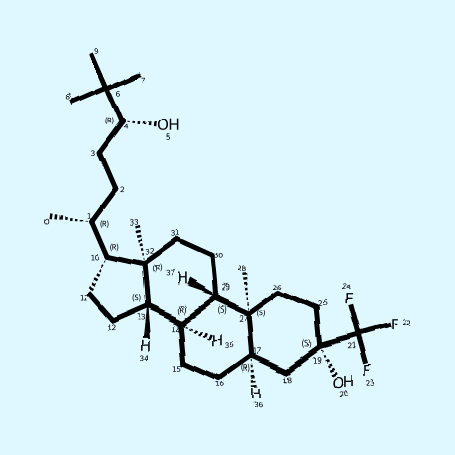 C[C@H](CC[C@@H](O)C(C)(C)C)[C@H]1CC[C@H]2[C@@H]3CC[C@@H]4C[C@](O)(C(F)(F)F)CC[C@]4(C)[C@H]3CC[C@]12C